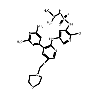 Cc1nc(N)cc(-c2cc(CCN3CCOCC3)cnc2Nc2cnc(Cl)c(NS(=O)(=O)NN(C)C)c2)n1